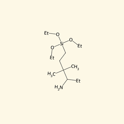 CCO[Si](CCC(C)(C)C(N)CC)(OCC)OCC